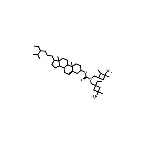 CCC(CCCC1CCC2C3CC=C4CC(OC(=O)N(CC5(CC)CC(C)(N)C5)CC5(CC)CC(C)(N)C5)CCC4(C)C3CCC12C)C(C)C